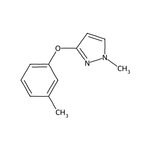 Cc1cccc(Oc2ccn(C)n2)c1